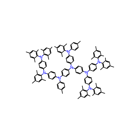 Cc1ccc(N(c2ccc(N(c3ccc(N(c4ccc(N(c5c(C)cc(C)cc5C)c5c(C)cc(C)cc5C)cc4)c4ccc(N(c5c(C)cc(C)cc5C)c5c(C)cc(C)cc5C)cc4)cc3)c3ccc(N(c4ccc(C)cc4)c4c(C)cc(C)cc4C)cc3)cc2)c2ccc(N(c3ccc(N(c4c(C)cc(C)cc4C)c4c(C)cc(C)cc4C)cc3)c3c(C)cc(C)cc3C)cc2)cc1